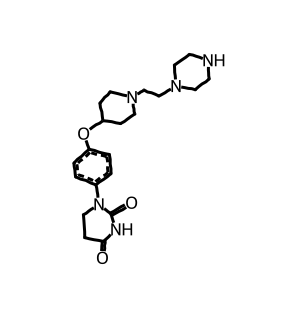 O=C1CCN(c2ccc(OC3CCN(CCN4CCNCC4)CC3)cc2)C(=O)N1